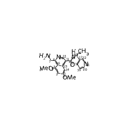 COc1cc(OC)c2c(CN)ncc(C(=O)NC(C)c3cccnc3)c2c1